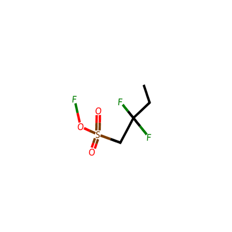 CCC(F)(F)CS(=O)(=O)OF